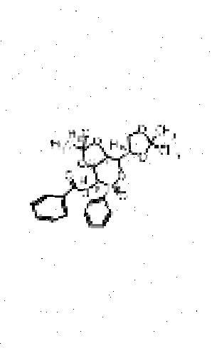 CC1(C)OC[C@H](C2O[P@](=O)(c3ccccc3)[C@@H](OC(=O)c3ccccc3)[C@H]3OC(C)(C)O[C@@H]23)O1